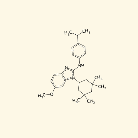 COc1ccc2nc(Nc3ccc(C(C)C)cc3)n(C3CC(C)(C)CC(C)(C)C3)c2c1